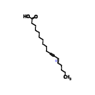 CCCC/C=C/C#CCCCCCCCCCC(=O)O